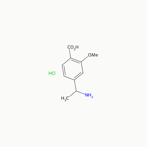 COc1cc(C(C)N)ccc1C(=O)O.Cl